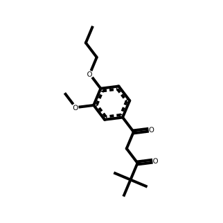 CCCOc1ccc(C(=O)CC(=O)C(C)(C)C)cc1OC